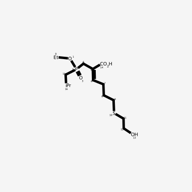 CCOP(=O)(CC(=CCCCSCCO)C(=O)O)CC(C)C